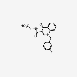 O=C(O)CNC(=O)c1cn(Cc2cccc(Cl)c2)c2ccccc2c1=O